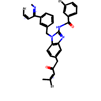 CC/C(C)=C/C(=O)Cc1ccc2c(c1)nc(NC(=O)c1cccc(CC)c1)n2Cc1cccc(C(/C=C\C(C)=O)=N/C)c1